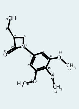 COc1cc(N2C[C@H](CO)C2=O)cc(OC)c1OC